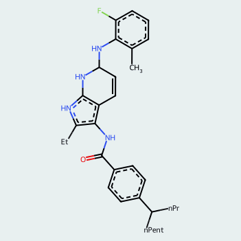 CCCCCC(CCC)c1ccc(C(=O)Nc2c(CC)[nH]c3c2C=CC(Nc2c(C)cccc2F)N3)cc1